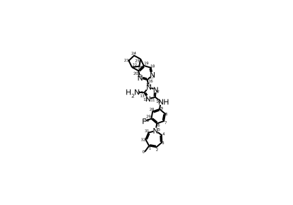 CC1=CC=CN(c2ccc(Nc3nc(N)n(-c4ncc5c(n4)C4CCC5C4)n3)cc2F)C=C1